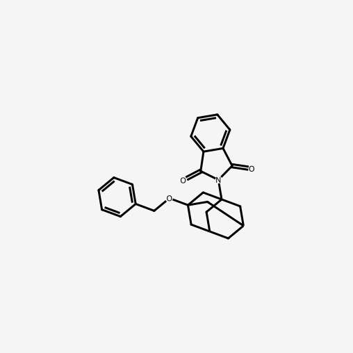 O=C1c2ccccc2C(=O)N1C12CC3CC(CC(OCc4ccccc4)(C3)C1)C2